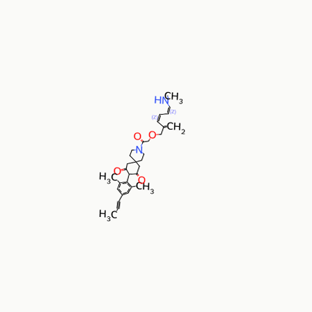 C=C(/C=C\C=C/NC)COCC(=O)N1CCC2(CC1)CC(=O)C(c1c(C)cc(C#CC)cc1C)C(=O)C2